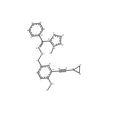 COc1ccc(CON=C(c2ccccc2)c2nnnn2C)nc1C#CC1CC1